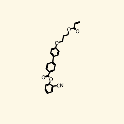 C=CC(=O)OCCCOc1ccc(-c2ccc(C(=O)Oc3ccccc3C#N)cc2)cc1